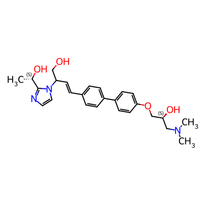 C[C@H](O)c1nccn1C(C=Cc1ccc(-c2ccc(OC[C@@H](O)CN(C)C)cc2)cc1)CO